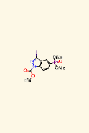 COP(=O)(OC)c1ccc2c(c1)c(I)nn2C(=O)OC(C)(C)C